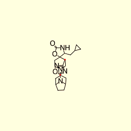 Cc1noc(N2C3CCC2CC(N2CCC4(CC2)OC(=O)NC4CC2CC2)C3)n1